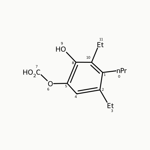 CCCc1c(CC)cc(OC(=O)O)c(O)c1CC